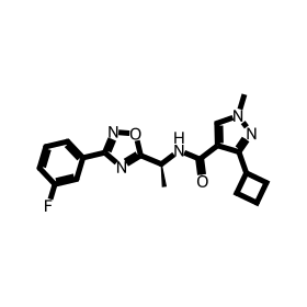 C[C@H](NC(=O)c1cn(C)nc1C1CCC1)c1nc(-c2cccc(F)c2)no1